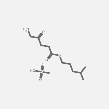 CC(C)CCCOC(=O)CCC(=O)CN.CS(=O)(=O)O